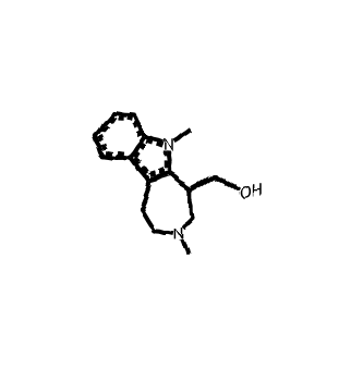 CN1CCc2c(n(C)c3ccccc23)C(CO)C1